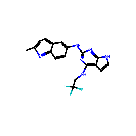 Cc1ccc2cc(Nc3nc(NCC(F)(F)F)c4cc[nH]c4n3)ccc2n1